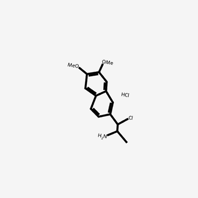 COc1cc2ccc(C(Cl)C(C)N)cc2cc1OC.Cl